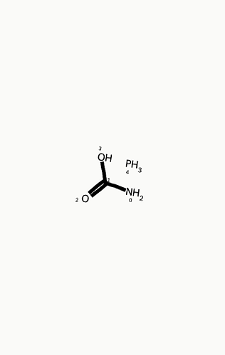 NC(=O)O.P